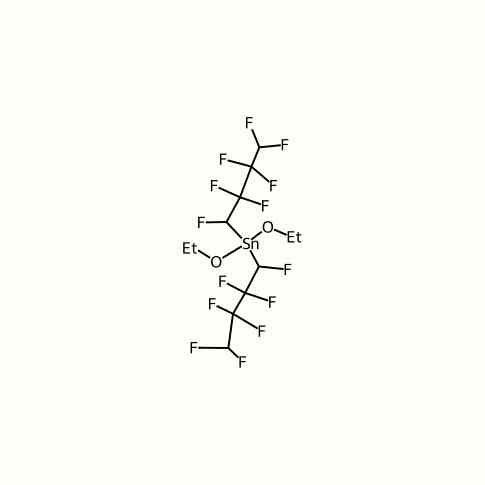 CC[O][Sn]([O]CC)([CH](F)C(F)(F)C(F)(F)C(F)F)[CH](F)C(F)(F)C(F)(F)C(F)F